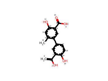 C=C(O)c1cc(-c2cc(C(=O)O)c(O)cc2C)ccc1O